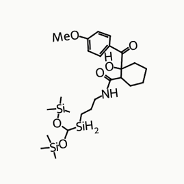 COc1ccc(C(=O)C2(O)CCCCC2C(=O)NCCC[SiH2]C(O[Si](C)(C)C)O[Si](C)(C)C)cc1